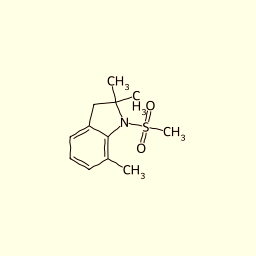 Cc1cccc2c1N(S(C)(=O)=O)C(C)(C)C2